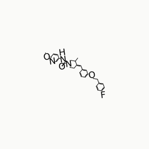 COc1ccc(NC(=O)N2CC/C(=C\c3cccc(OCCc4ccc(F)cc4)c3)C(C)C2)cn1